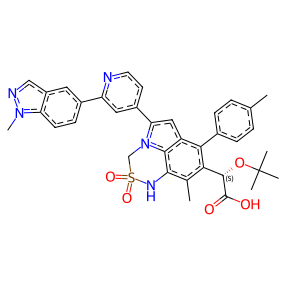 Cc1ccc(-c2c([C@H](OC(C)(C)C)C(=O)O)c(C)c3c4c2cc(-c2ccnc(-c5ccc6c(cnn6C)c5)c2)n4CS(=O)(=O)N3)cc1